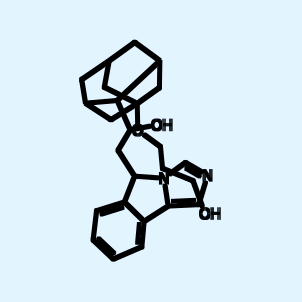 OCCCOC12CC3CC(C1)C(C(O)CC1c4ccccc4-c4cncn41)C(C3)C2